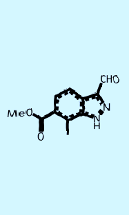 COC(=O)c1ccc2c(C=O)n[nH]c2c1C